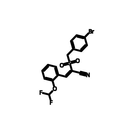 N#C/C(=C/c1ccccc1OC(F)F)S(=O)(=O)Cc1ccc(Br)cc1